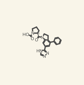 O=C([C@@H]1CCCN1C(=O)O)N1CCc2c(-c3ccccc3)cc(-c3nnc[nH]3)cc21